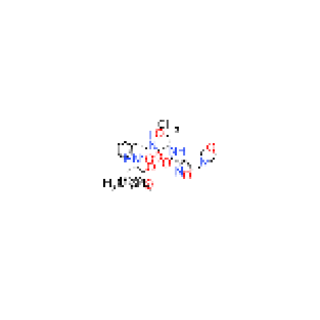 COC[C@H](NC(=O)c1cc(CN2CCOCC2)on1)C(=O)N[C@@H](Cc1ccccc1)C(=O)N[C@@H](CC(C)C)C(=O)[C@@]1(C)CO1